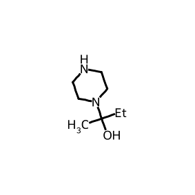 CCC(C)(O)N1CCNCC1